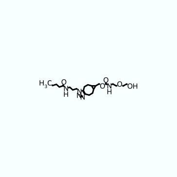 CCCCC(=O)NCCCn1nnc2c1CCC1C(CC2)C1COC(=O)NCCOCCO